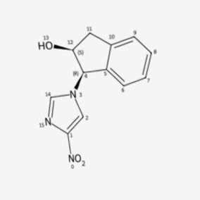 O=[N+]([O-])c1cn([C@@H]2c3ccccc3C[C@@H]2O)cn1